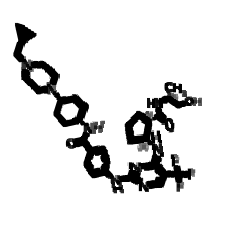 C[C@H](CO)NC(=O)[C@H]1CCC[C@H]1Nc1nc(Nc2ccc(C(=O)N[C@H]3CC[C@H](N4CCN(CC5CC5)CC4)CC3)cc2)ncc1C(F)(F)F